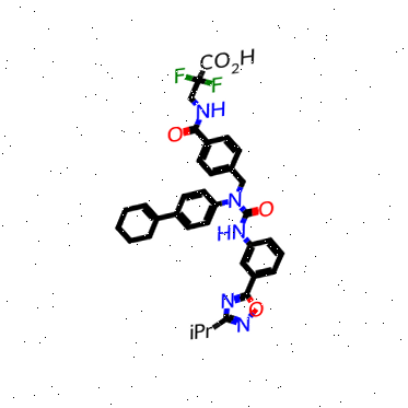 CC(C)c1noc(-c2cccc(NC(=O)N(Cc3ccc(C(=O)NCC(F)(F)C(=O)O)cc3)c3ccc(C4=CCCCC4)cc3)c2)n1